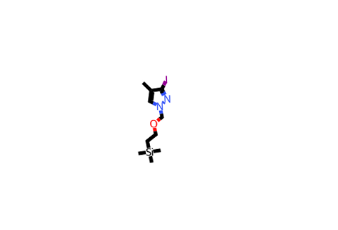 Cc1cn(COCC[Si](C)(C)C)nc1I